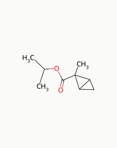 CC(C)OC(=O)C1(C)C2CC21